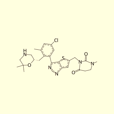 Cc1cc(Cl)cc(-c2ncnc3cc(CN4C(=O)CCN(C)C4=O)sc23)c1C[C@H]1CNCC(C)(C)O1